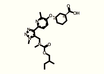 CCC(C)COC(=O)N(C)Cc1c(-c2ccc(O[C@H]3CCC[C@H](C(=O)O)C3)c(C)n2)nnn1C